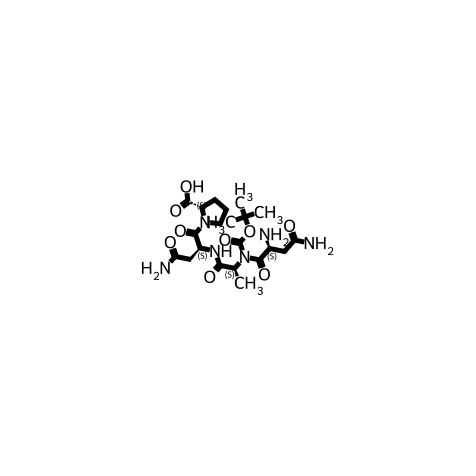 C[C@@H](C(=O)N[C@@H](CC(N)=O)C(=O)N1CCC[C@H]1C(=O)O)N(C(=O)OC(C)(C)C)C(=O)[C@@H](N)CC(N)=O